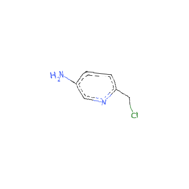 Nc1ccc(CCl)nc1